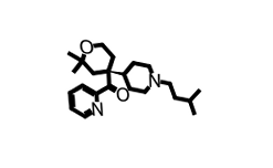 CC(C)CCN1CCC([C@]2(C(=O)c3ccccn3)CCOC(C)(C)C2)CC1